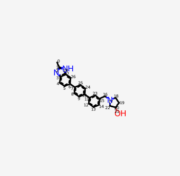 Cc1nc2ccc(-c3ccc(-c4cccc(CN5CC[C@@H](O)C5)c4)cc3)cc2[nH]1